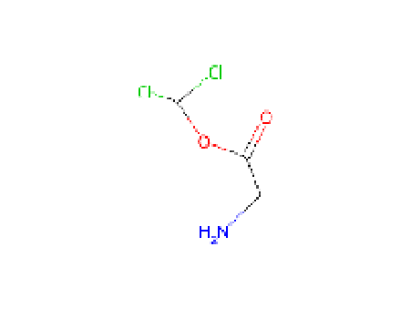 NCC(=O)OC(Cl)Cl